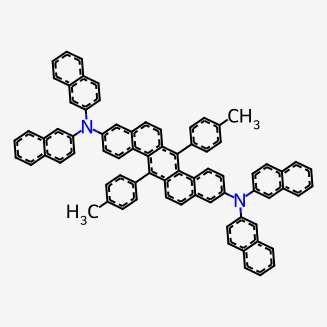 Cc1ccc(-c2c3ccc4cc(N(c5ccc6ccccc6c5)c5ccc6ccccc6c5)ccc4c3c(-c3ccc(C)cc3)c3ccc4cc(N(c5ccc6ccccc6c5)c5ccc6ccccc6c5)ccc4c23)cc1